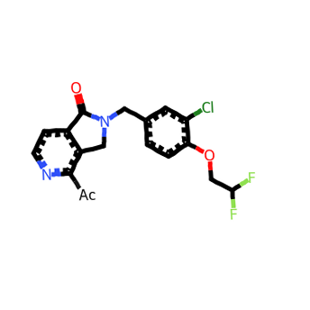 CC(=O)c1nccc2c1CN(Cc1ccc(OCC(F)F)c(Cl)c1)C2=O